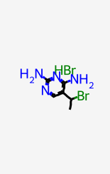 Br.CC(Br)c1cnc(N)nc1N